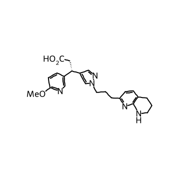 COc1ccc([C@H](CC(=O)O)c2cnn(CCCc3ccc4c(n3)NCCC4)c2)cn1